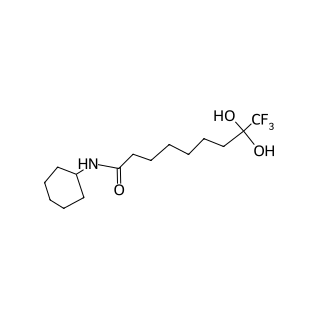 O=C(CCCCCCC(O)(O)C(F)(F)F)NC1CCCCC1